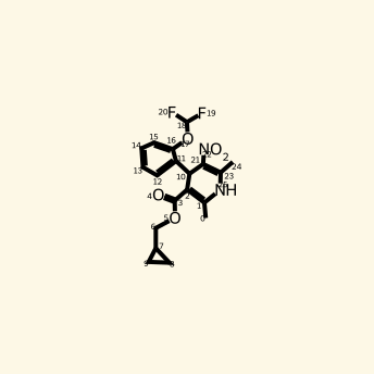 CC1=C(C(=O)OCC2CC2)C(c2ccccc2OC(F)F)C([N+](=O)[O-])=C(C)N1